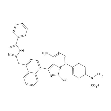 CC(C)c1nc(-c2ccc(Cc3ncc(-c4ccccc4)[nH]3)c3ccccc23)c2c(N)ncc(C3=CCC(N(C)C(=O)O)CC3)n12